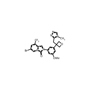 COc1cc(-n2cc3c(C(F)(F)F)cc(Br)cn3c2=O)cc(C2(Cc3nncn3C)COC2)c1